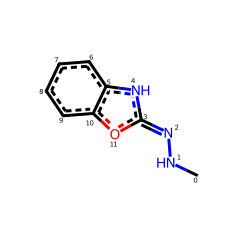 CNN=c1[nH]c2ccccc2o1